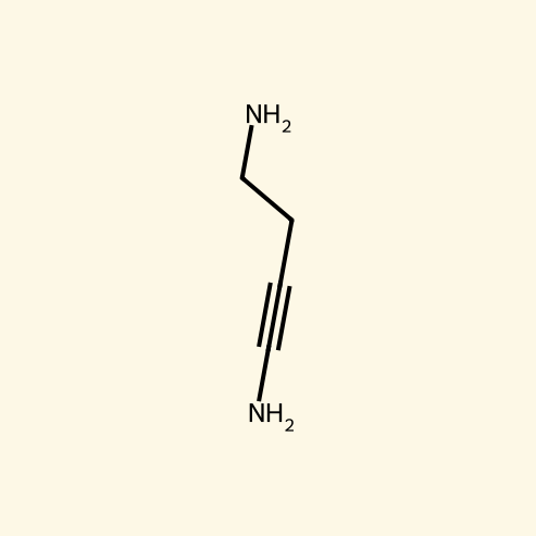 NC#CCCN